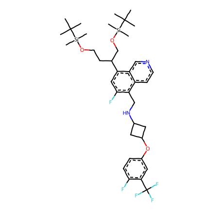 CC(C)(C)[Si](C)(C)OCCC(CO[Si](C)(C)C(C)(C)C)c1cc(F)c(CNC2CC(Oc3ccc(F)c(C(F)(F)F)c3)C2)c2ccncc12